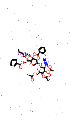 CCCCO[C@@H](COC(=O)c1ccccc1)C1OCC(O[C@H]2O[C@H](COC(C)=O)[C@@H](OC(C)=O)C(OC(C)=O)C2N=[N+]=[N-])C(OC(=O)c2ccccc2)[C@@H]1OB=BP